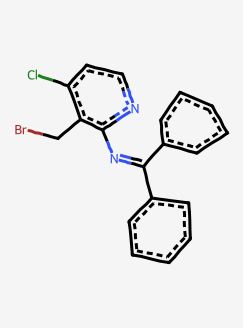 Clc1ccnc(N=C(c2ccccc2)c2ccccc2)c1CBr